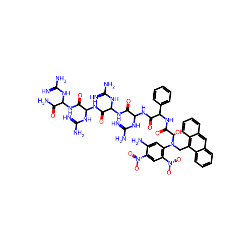 N=C(N)NC(NC(=O)C(NC(=N)N)NC(=O)C(NC(=N)N)NC(=O)C(NC(=N)N)NC(=O)C(NC(=O)C(O)N(Cc1c2ccccc2cc2ccccc12)c1cc(N)c([N+](=O)[O-])cc1[N+](=O)[O-])c1ccccc1)C(N)=O